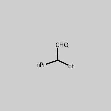 [CH2]CC(C=O)CCC